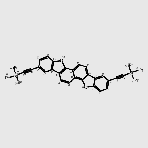 CC(C)[Si](C#Cc1ccc2oc3c(ccc4c3ccc3c5cc(C#C[Si](C(C)C)(C(C)C)C(C)C)ccc5oc34)c2c1)(C(C)C)C(C)C